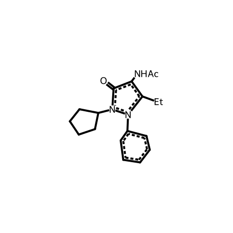 CCc1c(NC(C)=O)c(=O)n(C2CCCC2)n1-c1ccccc1